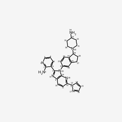 Nc1ncccc1-c1nc2ccc(-n3cccn3)nc2n1-c1ccc2c(c1)CCC2N1CCC(N)CC1